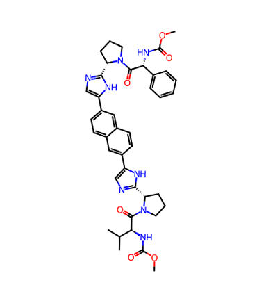 COC(=O)N[C@H](C(=O)N1CCC[C@H]1c1ncc(-c2ccc3cc(-c4cnc([C@@H]5CCCN5C(=O)[C@H](NC(=O)OC)c5ccccc5)[nH]4)ccc3c2)[nH]1)C(C)C